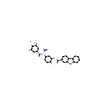 COc1cc(C(=O)N(C(=N)N)c2ccc(C)c(NC(=O)c3ccc4c(c3)Cc3ccccc3-4)c2)cc(OC)c1OC